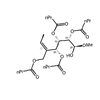 C/C=C(/COC(=O)CCC)[C@@H](OC(=O)CCC)[C@H](OC(=O)CCC)[C@H](OC(=O)CCC)[C@H](O)OC